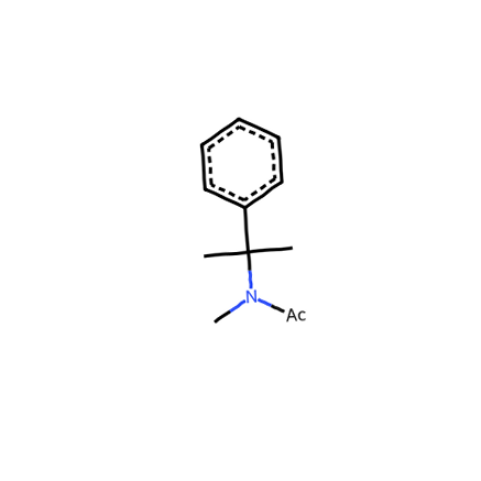 CC(=O)N(C)C(C)(C)c1ccccc1